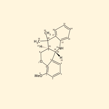 COc1cccc2c1OC[C@@H]1[C@@H]2Nc2ccccc2C1(C)C